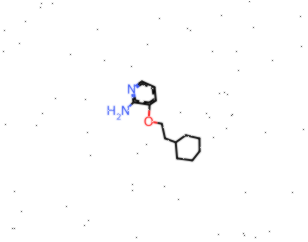 Nc1ncccc1OCCC1CCCCC1